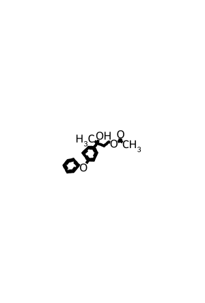 CC(=O)OCCC(C)(O)c1ccc(Oc2ccccc2)cc1